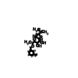 C[C@@H](OCc1cccc(F)c1)[C@H]1O[C@@H]2SC(N(C)C)=N[C@@H]2[C@@H](O)[C@@H]1O